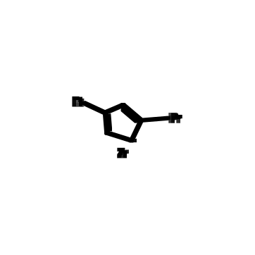 CCC1=C[CH]C(C(C)C)=C1.[Zr]